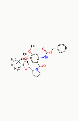 COc1cc(NC(=O)OCc2ccccc2)c(C(=O)N2CCCC2CO[Si](C)(C)C(C)(C)C)cc1OC